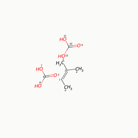 CC=C(C)C.O=C(O)O.O=C(O)O